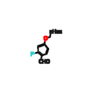 CCCCCCCOc1ccc(C=O)c(F)c1